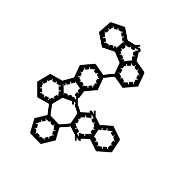 c1ccc2c(c1)-c1nc3ccccc3nc1-n1c3cc(-c4cccc5sc6ccccc6c45)ccc3c3cccc-2c31